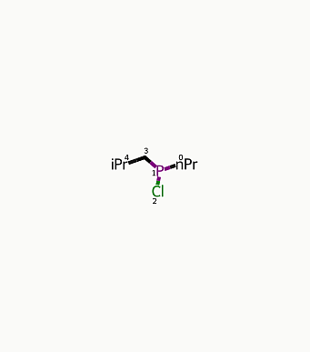 CCCP(Cl)CC(C)C